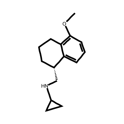 COc1cccc2c1CCC[C@H]2CNC1CC1